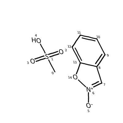 CS(=O)(=O)O.[O-][n+]1cc2ccccc2o1